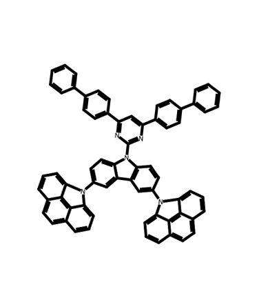 c1ccc(-c2ccc(-c3cc(-c4ccc(-c5ccccc5)cc4)nc(-n4c5ccc(-n6c7cccc8ccc9cccc6c9c87)cc5c5cc(-n6c7cccc8ccc9cccc6c9c87)ccc54)n3)cc2)cc1